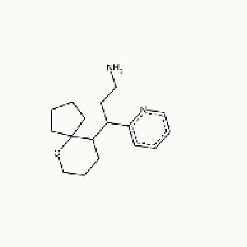 NCCC(c1ccccn1)C1CCCOC12CCCC2